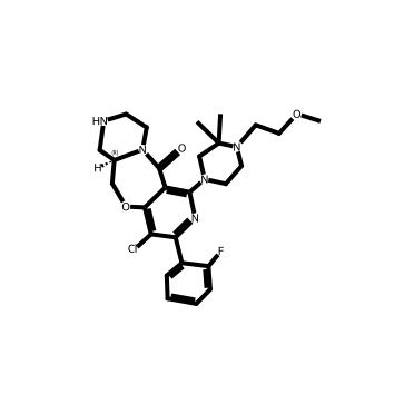 COCCN1CCN(c2nc(-c3ccccc3F)c(Cl)c3c2C(=O)N2CCNC[C@@H]2CO3)CC1(C)C